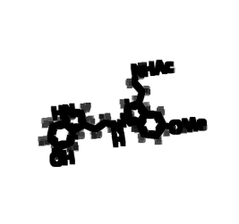 COc1ccc2c(c1)c(CCNC(C)=O)cn2NCCc1c[nH]c2ccc(O)cc12